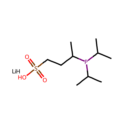 CC(C)P(C(C)C)C(C)CCS(=O)(=O)O.[LiH]